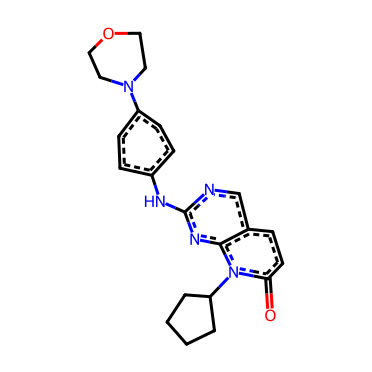 O=c1ccc2cnc(Nc3ccc(N4CCOCC4)cc3)nc2n1C1CCCC1